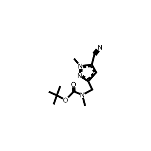 CN(Cc1cc(C#N)n(C)n1)C(=O)OC(C)(C)C